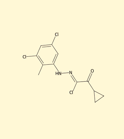 Cc1c(Cl)cc(Cl)cc1NN=C(Cl)C(=O)C1CC1